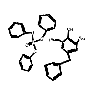 CC(C)(C)c1cc(Cc2ccccc2)cc(C(C)(C)C)c1O.O=P(Oc1ccccc1)(Oc1ccccc1)Oc1ccccc1